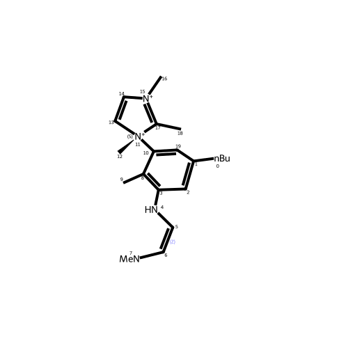 CCCCc1cc(N/C=C\NC)c(C)c([N@+]2(C)C=C[N+](C)=C2C)c1